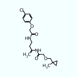 C=C(CCNC(=O)COc1ccc(Cl)cc1)NC(=O)COCC1(C)CC1